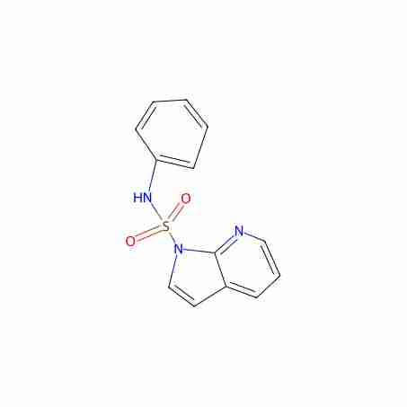 O=S(=O)(Nc1ccccc1)n1ccc2cccnc21